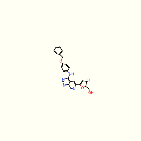 O=C1C=C(c2cc3c(Nc4ccc(OCc5ccccc5)cc4)ncnc3cn2)OC1CO